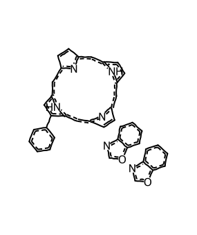 C1=Cc2cc3cc(-c4ccccc4)c(cc4nc(cc5ccc(cc1n2)[nH]5)C=C4)[nH]3.c1ccc2ocnc2c1.c1ccc2ocnc2c1